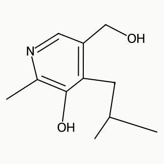 Cc1ncc(CO)c(CC(C)C)c1O